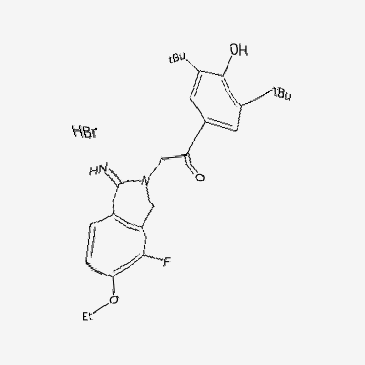 Br.CCOc1ccc2c(c1F)CN(CC(=O)c1cc(C(C)(C)C)c(O)c(C(C)(C)C)c1)C2=N